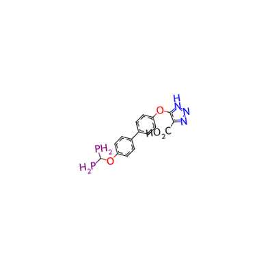 O=C(O)c1nn[nH]c1Oc1ccc(-c2ccc(OC(P)P)cc2)cc1